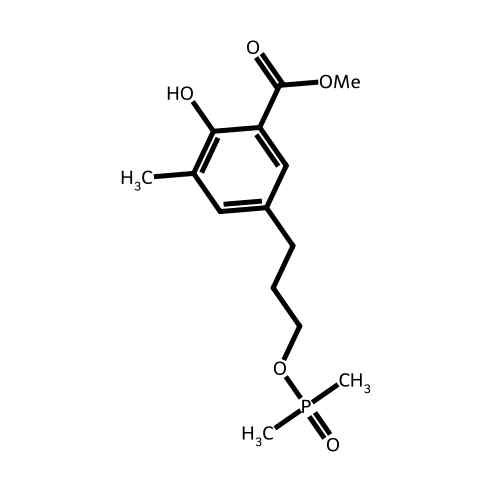 COC(=O)c1cc(CCCOP(C)(C)=O)cc(C)c1O